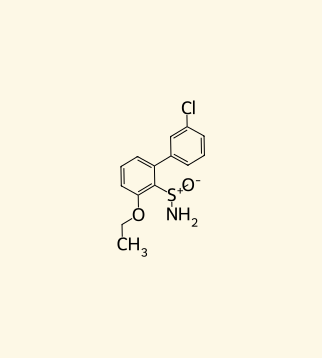 CCOc1cccc(-c2cccc(Cl)c2)c1[S+](N)[O-]